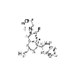 CN1Cc2cc(N3CCOCC3)c(F)cc2C(c2ccc3ccoc3c2)C1